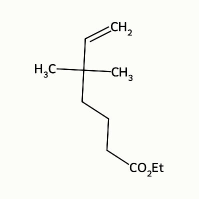 C=CC(C)(C)CCCC(=O)OCC